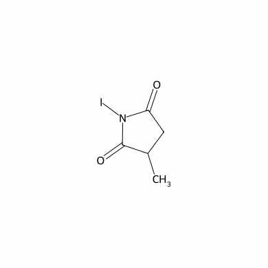 CC1CC(=O)N(I)C1=O